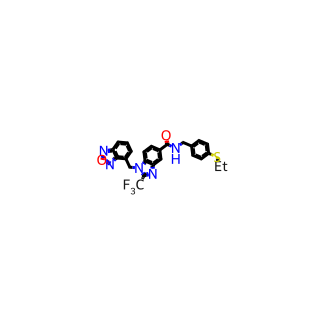 CCSc1ccc(CNC(=O)c2ccc3c(c2)nc(C(F)(F)F)n3Cc2cccc3nonc23)cc1